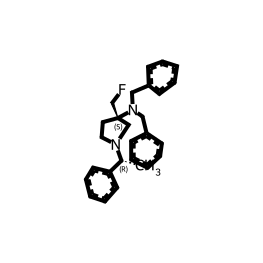 C[C@H](c1ccccc1)N1CC[C@](CF)(N(Cc2ccccc2)Cc2ccccc2)C1